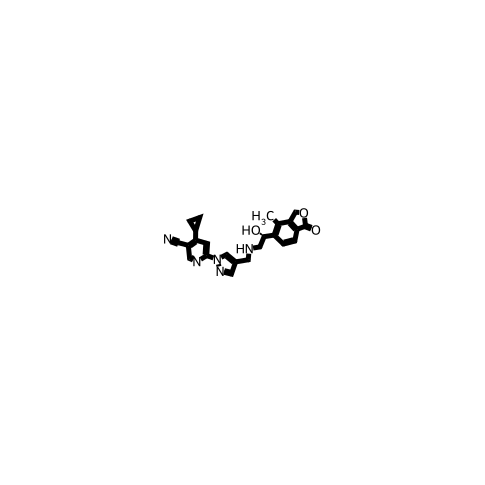 Cc1c([C@@H](O)CNCc2cnn(-c3cc(C4CC4)c(C#N)cn3)c2)ccc2c1COC2=O